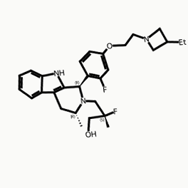 CCC1CN(CCOc2ccc([C@@H]3c4[nH]c5ccccc5c4C[C@@H](C)N3C[C@](C)(F)CO)c(F)c2)C1